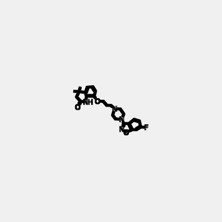 CC1(C)CC(=O)Nc2c(OCCCN3CCN(c4noc5cc(F)ccc45)CC3)cccc21